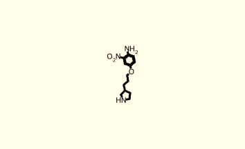 Nc1ccc(OCCCC2CCNC2)cc1[N+](=O)[O-]